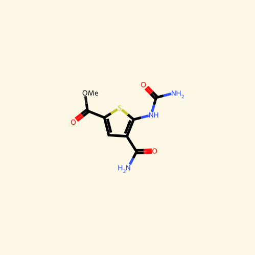 COC(=O)c1cc(C(N)=O)c(NC(N)=O)s1